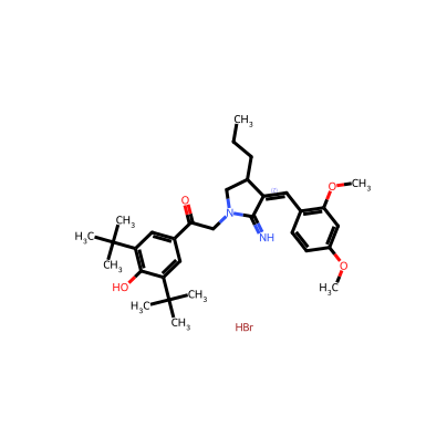 Br.CCCC1CN(CC(=O)c2cc(C(C)(C)C)c(O)c(C(C)(C)C)c2)C(=N)/C1=C\c1ccc(OC)cc1OC